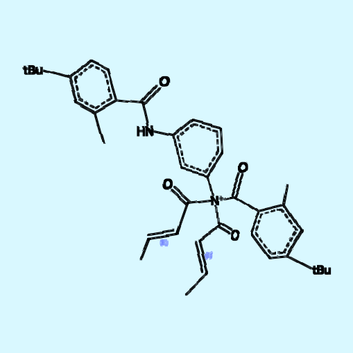 C/C=C/C(=O)[N+](C(=O)/C=C/C)(C(=O)c1ccc(C(C)(C)C)cc1C)c1cccc(NC(=O)c2ccc(C(C)(C)C)cc2C)c1